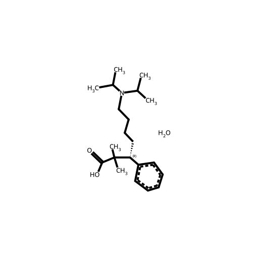 CC(C)N(CCCC[C@H](c1ccccc1)C(C)(C)C(=O)O)C(C)C.O